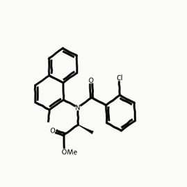 COC(=O)[C@H](C)N(C(=O)c1ccccc1Cl)c1c(C)ccc2ccccc12